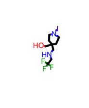 OCC1(CNCC(F)(F)F)CCN(I)CC1